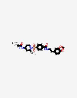 C=CC(=O)NC1CCN(S(=O)(=O)c2ccc(C(=O)NCCc3ccc4c(c3)OCO4)cc2)C(C)C1